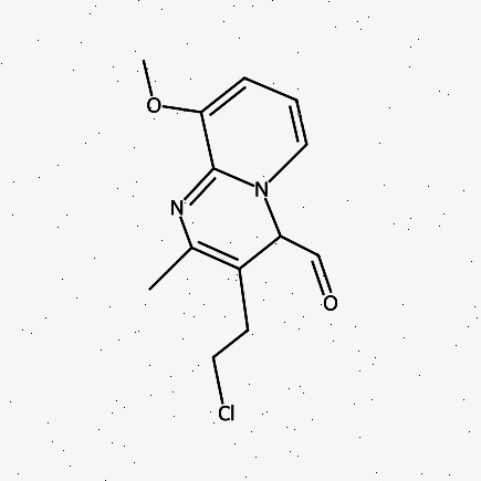 COC1=CC=CN2C1=NC(C)=C(CCCl)C2C=O